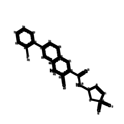 O=C(NC1C=CS(=O)(=O)C1)c1cc2ccc(-c3ccccc3F)cc2[nH]c1=O